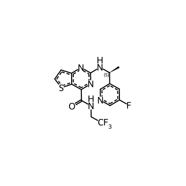 C[C@H](Nc1nc(C(=O)NCC(F)(F)F)c2sccc2n1)c1cncc(F)c1